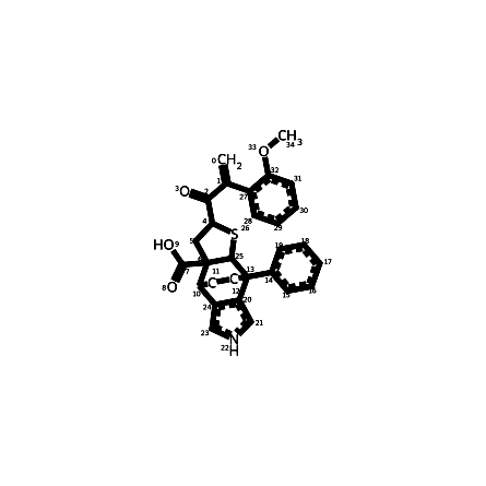 C=C(C(=O)C1CC2(C(=O)O)C3CCC(c4ccccc4)(c4c[nH]cc43)C2S1)c1ccccc1OC